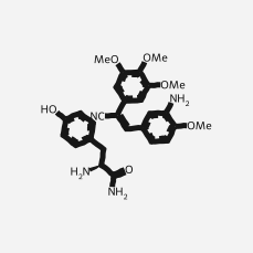 COc1ccc(/C=C(/C#N)c2cc(OC)c(OC)c(OC)c2)cc1N.NC(=O)[C@@H](N)Cc1ccc(O)cc1